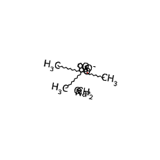 C=O.CCCCCCCCCCc1c(CCCCCCCCCC)c(S(=O)(=O)[O-])c2ccccc2c1CCCCCCCCCC.[Na+]